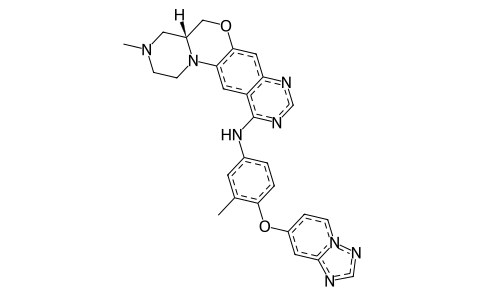 Cc1cc(Nc2ncnc3cc4c(cc23)N2CCN(C)C[C@@H]2CO4)ccc1Oc1ccn2ncnc2c1